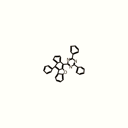 c1ccc(-c2nc(-c3ccccc3)nc(-c3c4ccccc4c(-c4ccccc4)c4c3oc3ccccc34)n2)cc1